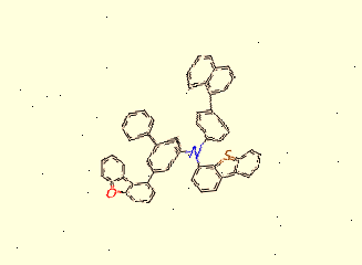 c1ccc(-c2cc(-c3cccc4oc5ccccc5c34)cc(N(c3ccc(-c4cccc5ccccc45)cc3)c3cccc4c3sc3ccccc34)c2)cc1